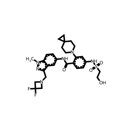 Cn1nc(CN2CC(F)(F)C2)c2cc(NC(=O)c3ccc(NS(=O)(=O)CCO)cc3N3CCC4(CC3)CC4)ccc21